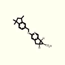 CC1CC(C)(C)c2ccc(COc3cc4c(cn3)[C@H]3[C@@H](C4)[C@@H]3C(=O)O)cc21